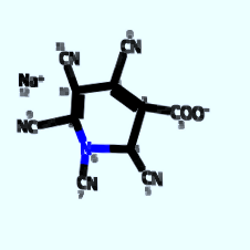 N#CC1=C(C(=O)[O-])C(C#N)N(C#N)C(C#N)=C1C#N.[Na+]